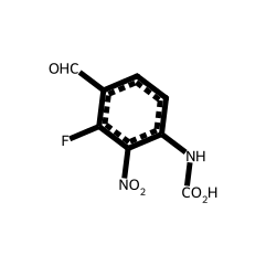 O=Cc1ccc(NC(=O)O)c([N+](=O)[O-])c1F